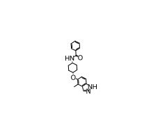 Cc1c(O[C@H]2CC[C@@H](NC(=O)c3ccccc3)CC2)ccc2[nH]ncc12